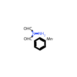 NN(C=O)C=O.[Mn].c1ccccc1